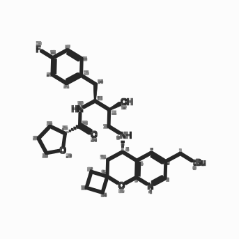 CC(C)(C)Cc1cnc2c(c1)[C@@H](NC[C@H](O)[C@H](Cc1ccc(F)cc1)NC(=O)[C@H]1CCCO1)CC1(CCC1)O2